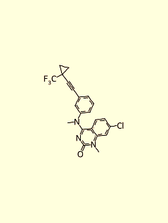 CN(c1cccc(C#CC2(C(F)(F)F)CC2)c1)c1nc(=O)n(C)c2cc(Cl)ccc12